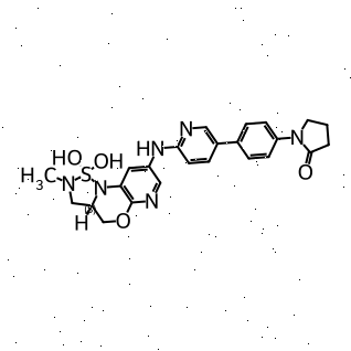 CN1C[C@H]2COc3ncc(Nc4ccc(-c5ccc(N6CCCC6=O)cc5)cn4)cc3N2S1(O)O